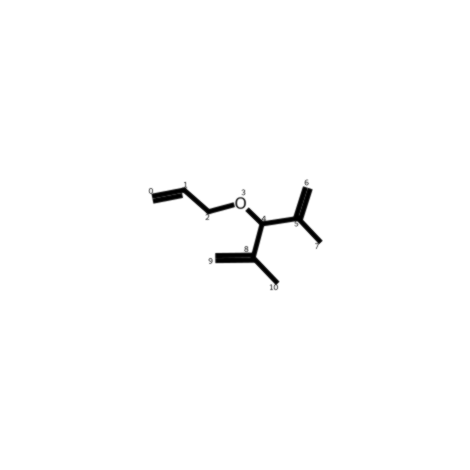 C=CCOC(C(=C)C)C(=C)C